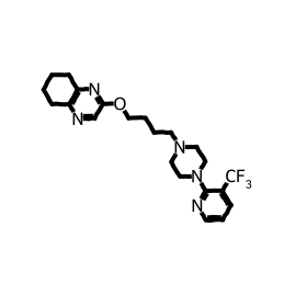 FC(F)(F)c1cccnc1N1CCN(CCCCOc2cnc3c(n2)CCCC3)CC1